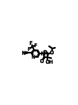 CC(C)OC(=O)C(C)(O)C(=O)Nc1cnc(C#N)c(C(F)(F)F)c1